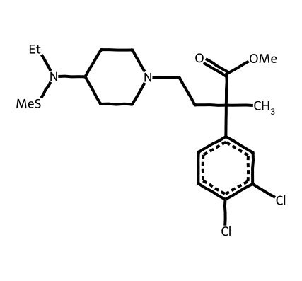 CCN(SC)C1CCN(CCC(C)(C(=O)OC)c2ccc(Cl)c(Cl)c2)CC1